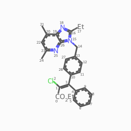 CCOC(=O)C(Cl)=C(c1ccccc1)c1ccc(Cn2c(CC)nc3c(C)cc(C)nc32)cc1